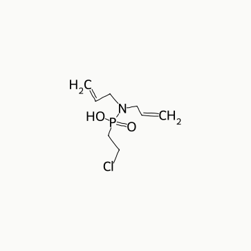 C=CCN(CC=C)P(=O)(O)CCCl